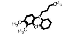 CCCCP(c1ccc(C)c(C)c1C)C1CCCCC1